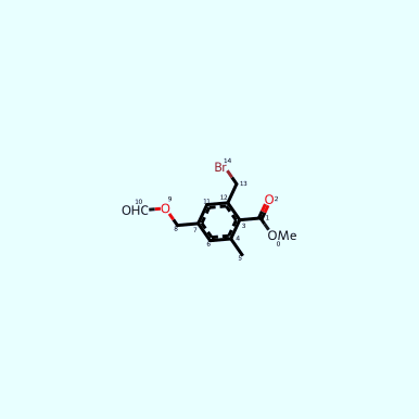 COC(=O)c1c(C)cc(COC=O)cc1CBr